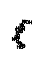 Cc1c(-c2nc3cc4c(c(C#N)c3o2)CCC4N2CC[C@@H](C(=O)O)C2)cccc1-c1cccc(Nc2nccc3cc(CN4CC[C@@H](O)C4)cnc23)c1Cl